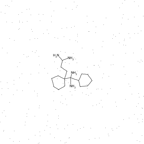 NC(N)CCC1(C(N)(N)C2CCCCC2)CCCCC1